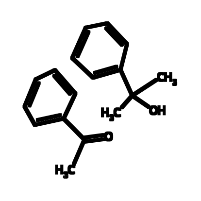 CC(=O)c1ccccc1.CC(C)(O)c1ccccc1